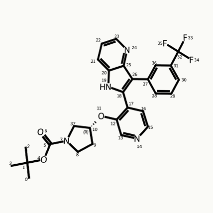 CC(C)(C)OC(=O)N1CC[C@@H](Oc2cnccc2-c2[nH]c3cccnc3c2-c2cccc(C(F)(F)F)c2)C1